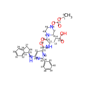 CCOC(=O)ON1CCN(C(=O)[C@H](CCC(=O)O)NC(=O)c2cc(N[C@@H]3CCc4ccccc43)nc(-c3ccccc3)n2)CC1